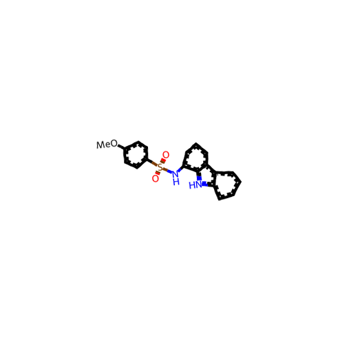 COc1ccc(S(=O)(=O)Nc2cccc3c2[nH]c2ccccc23)cc1